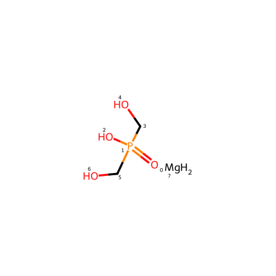 O=P(O)(CO)CO.[MgH2]